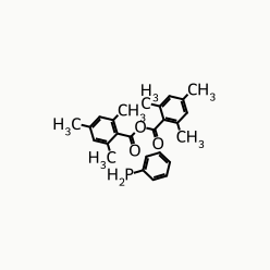 Cc1cc(C)c(C(=O)OC(=O)c2c(C)cc(C)cc2C)c(C)c1.Pc1ccccc1